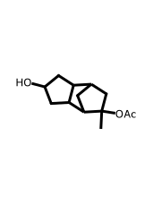 CC(=O)OC1(C)CC2CC1C1CC(O)CC21